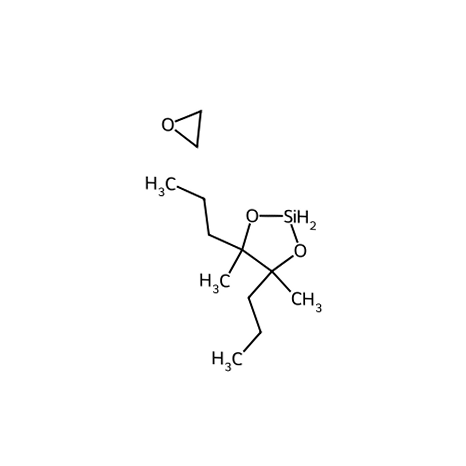 C1CO1.CCCC1(C)O[SiH2]OC1(C)CCC